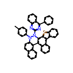 Cc1ccc(N2c3ccc4ccccc4c3-c3c(c4sc5ccccc5c4c4ccccc34)N2c2nc(-c3ccccc3)c3ccccc3n2)cc1